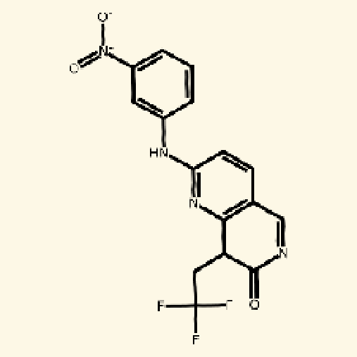 O=C1N=Cc2ccc(Nc3cccc([N+](=O)[O-])c3)nc2C1CC(F)(F)F